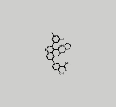 Cc1cc(F)cc(-c2cnc3ccc(-c4ccc(O)c(C(N)=O)c4)cc3c2C(=O)N(C)C[C@@H]2CCCN2)c1